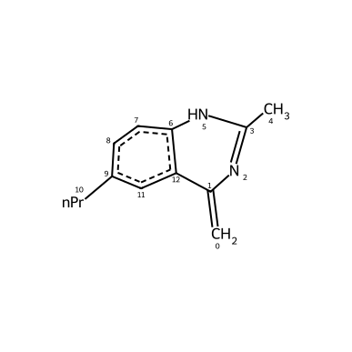 C=C1N=C(C)Nc2ccc(CCC)cc21